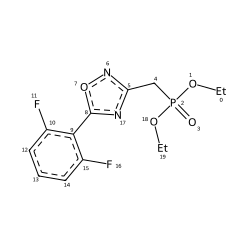 CCOP(=O)(Cc1noc(-c2c(F)cccc2F)n1)OCC